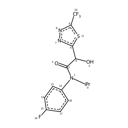 CC(C)N(C(=O)C(O)c1nnc(C(F)(F)F)s1)c1ccc(F)cc1